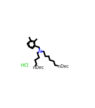 CCCCCCCCCCCCCCCCN(CCCCCCCCCCCCCC)Cc1cccc(C)c1C.Cl